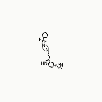 FC(F)(CN1CCN(CCCc2c[nH]c3ccc(-n4cnnc4)cc23)CC1)c1ccccc1